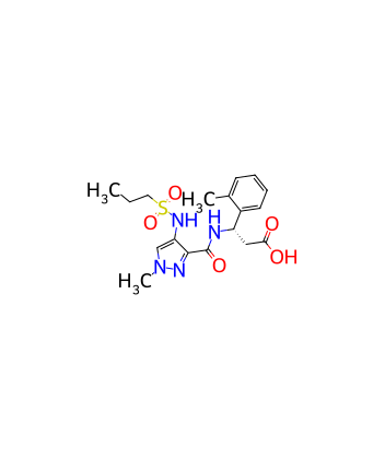 CCCS(=O)(=O)Nc1cn(C)nc1C(=O)N[C@@H](CC(=O)O)c1ccccc1C